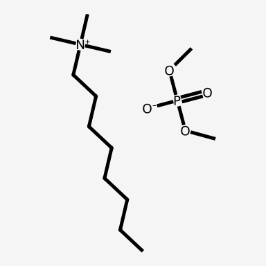 CCCCCCCC[N+](C)(C)C.COP(=O)([O-])OC